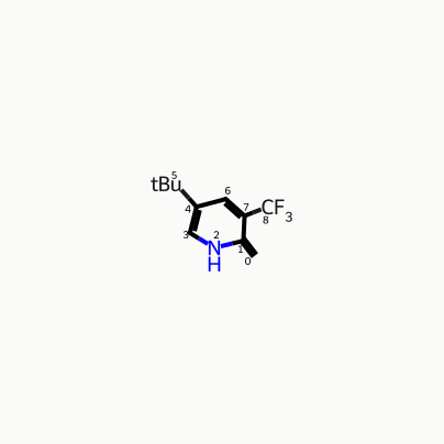 C=C1NC=C(C(C)(C)C)C=C1C(F)(F)F